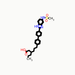 CCCC(CCCc1ccc(-c2ccc(-c3nc4cc(NS(C)(=O)=O)ccc4[nH]3)cc2)cc1)CC(=O)O